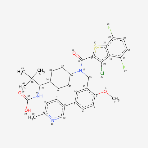 COc1ccc(-c2ccc(C)nc2)cc1CN(C(=O)c1sc2c(F)ccc(F)c2c1Cl)C1CCC(C(NC(=O)O)C(C)(C)C)CC1